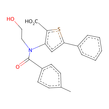 Cc1ccc(C(=O)N(CCO)c2cc(-c3ccccc3)sc2C(=O)O)cc1